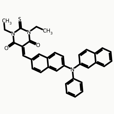 CCN1C(=O)C(=Cc2ccc3cc(N(c4ccccc4)c4ccc5ccccc5c4)ccc3c2)C(=O)N(CC)C1=S